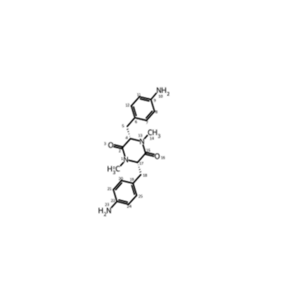 CN1C(=O)[C@H](Cc2ccc(N)cc2)N(C)C(=O)[C@@H]1Cc1ccc(N)cc1